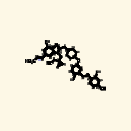 N#CCC1(Cn2c(CN3CCC(Oc4ccc(F)c(COc5ccc(C#N)cc5F)n4)CC3)nc3c(F)cc(/C=C/C(=O)O)cc32)CC1